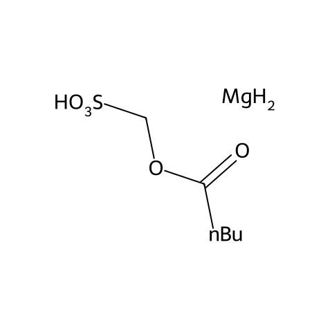 CCCCC(=O)OCS(=O)(=O)O.[MgH2]